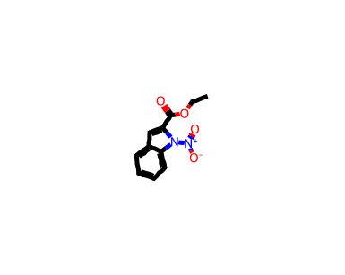 CCOC(=O)c1cc2ccccc2n1[N+](=O)[O-]